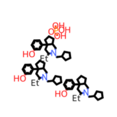 CCC1CC2(c3cccc(O)c3)CCCC2CN1CC1CCCC1.CCC1CC2(c3cccc(O)c3)CCCC2CN1CC1CCCC1.CCC1CC2(c3cccc(O)c3)CCCC2CN1CC1CCCC1.O=P(O)(O)O